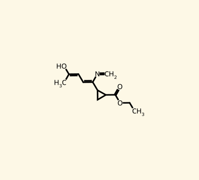 C=N/C(=C\C=C(/C)O)C1CC1C(=O)OCC